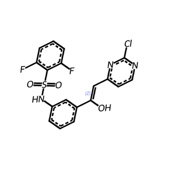 O=S(=O)(Nc1cccc(/C(O)=C/c2ccnc(Cl)n2)c1)c1c(F)cccc1F